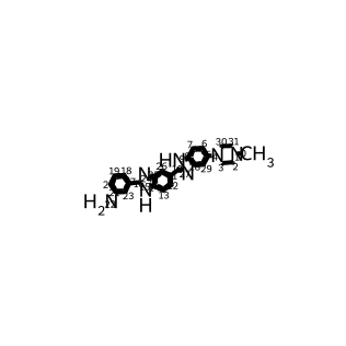 CN1CCN(c2ccc3[nH]c(-c4ccc5[nH]c(-c6cccc(N)c6)nc5c4)nc3c2)CC1